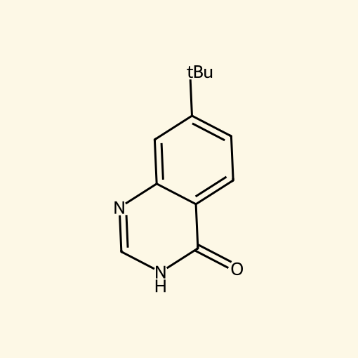 CC(C)(C)c1ccc2c(=O)[nH]cnc2c1